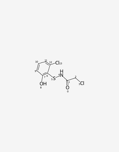 O=C(CCl)NSc1c(O)cccc1Cl